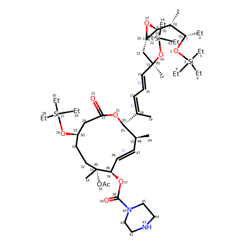 CC[C@H](O[Si](CC)(CC)CC)[C@@H](C)[C@@H]1O[C@H]1C[C@](C)(/C=C/C=C(\C)[C@H]1OC(=O)C[C@H](O[Si](CC)(CC)CC)CC[C@@](C)(OC(C)=O)[C@H](OC(=O)N2CCNCC2)/C=C/[C@@H]1C)O[Si](CC)(CC)CC